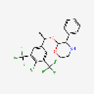 C[C@@H](OC1OCCNC1c1ccccc1)c1cc(C(F)(F)F)c(Cl)c(C(F)(F)F)c1